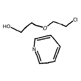 OCCOCCCl.c1ccncc1